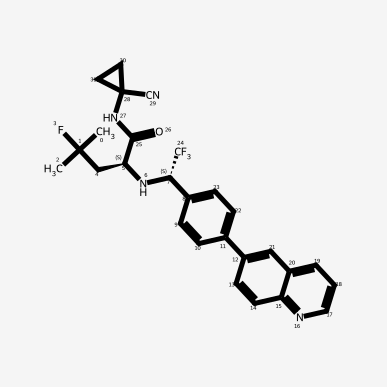 CC(C)(F)C[C@H](N[C@@H](c1ccc(-c2ccc3ncccc3c2)cc1)C(F)(F)F)C(=O)NC1(C#N)CC1